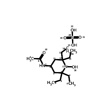 CCC1(CC)CC(NC(C)=O)CC(CC)(CC)N1O.O=S(=O)(O)O